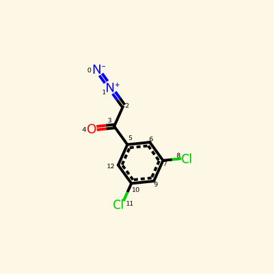 [N-]=[N+]=CC(=O)c1cc(Cl)cc(Cl)c1